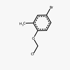 Cc1cc(Br)ccc1OCCl